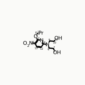 CC(C)Oc1nc(N(CCO)CCO)ccc1[N+](=O)[O-]